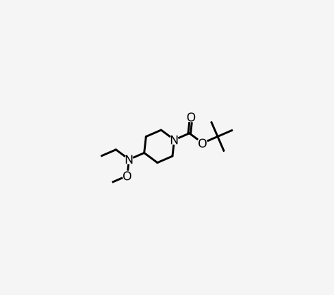 CCN(OC)C1CCN(C(=O)OC(C)(C)C)CC1